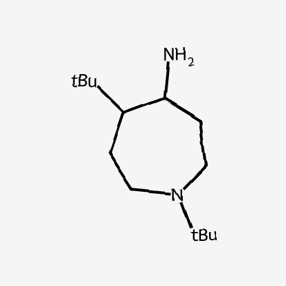 CC(C)(C)C1CCN(C(C)(C)C)CCC1N